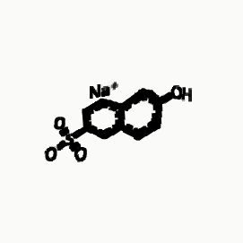 O=S(=O)([O-])c1ccc2cc(O)ccc2c1.[Na+]